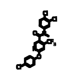 CN(C(=O)c1cnc(Oc2ccc(Cl)cc2)cc1C(F)(F)F)c1ccc(Cl)c(Cl)c1